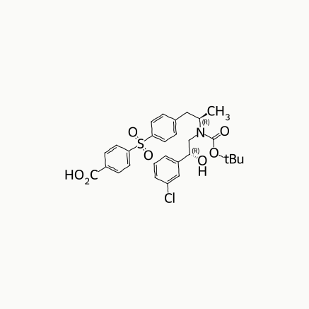 C[C@H](Cc1ccc(S(=O)(=O)c2ccc(C(=O)O)cc2)cc1)N(C[C@H](O)c1cccc(Cl)c1)C(=O)OC(C)(C)C